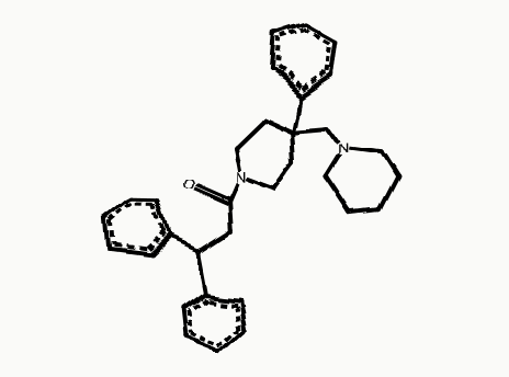 O=C(CC(c1ccccc1)c1ccccc1)N1CCC(CN2CCCCC2)(c2ccccc2)CC1